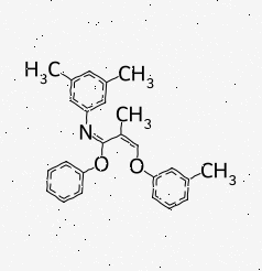 CC(=COc1cccc(C)c1)C(=Nc1cc(C)cc(C)c1)Oc1ccccc1